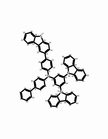 c1ccc(-c2ccc(N(c3ccc(-c4ccc5sc6ccccc6c5c4)cc3)c3cc(-n4c5ccccc5c5ccccc54)cc(-n4c5ccccc5c5ccccc54)c3)cc2)cc1